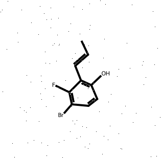 C/C=C/c1c(O)ccc(Br)c1F